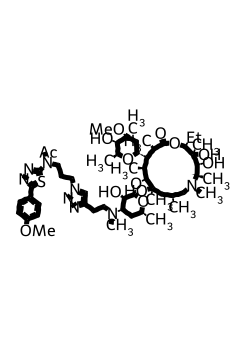 CC[C@H]1OC(=O)[C@H](C)C([C@H]2C[C@@](C)(OC)[C@@H](O)[C@H](C)O2)[C@H](C)[C@@H](O[C@@H]2O[C@H](C)C[C@H](N(C)CCc3cn(CCCN(C(C)=O)c4nnc(-c5ccc(OC)cc5)s4)nn3)[C@H]2O)[C@](C)(O)C[C@@H](C)CN(C)[C@H](C)[C@@H](O)[C@]1(C)O